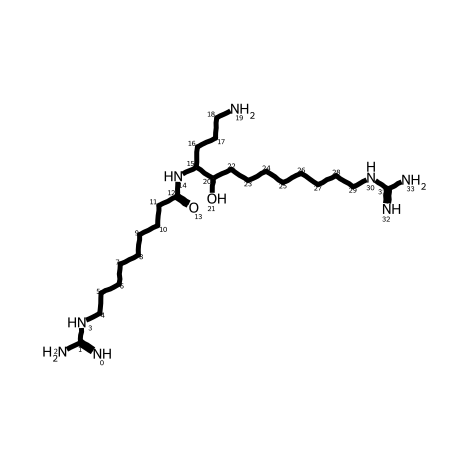 N=C(N)NCCCCCCCCC(=O)NC(CCCN)C(O)CCCCCCCCNC(=N)N